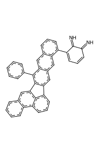 N=C1C=CC=C(c2cccc3cc4c(-c5ccccc5)c5c(cc4cc23)-c2cccc3c2c-5cc2ccccc23)C1=N